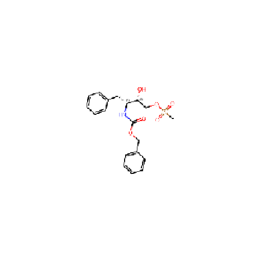 CS(=O)(=O)OC[C@@H](O)[C@@H](Cc1ccccc1)NC(=O)OCc1ccccc1